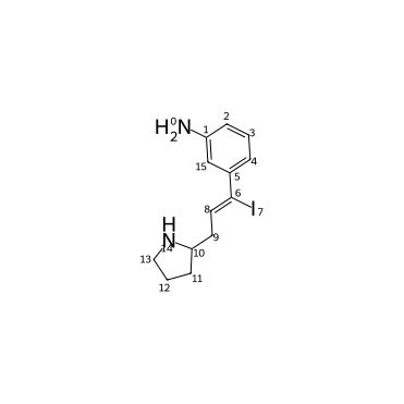 Nc1cccc(C(I)=CCC2CCCN2)c1